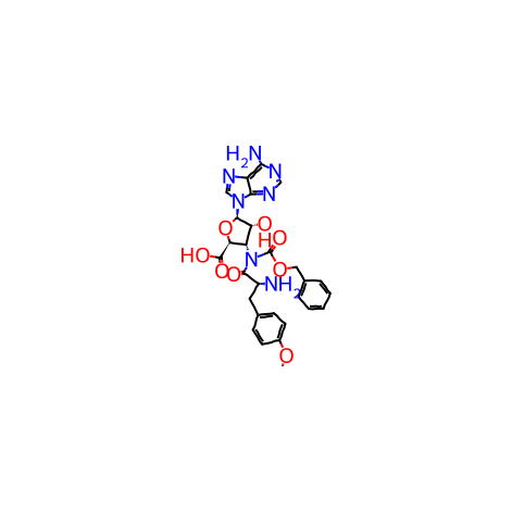 COc1ccc(C[C@H](N)C(=O)N(C(=O)OCc2ccccc2)[C@H]2[C@@H](O)[C@H](n3cnc4c(N)ncnc43)O[C@@H]2C(=O)O)cc1